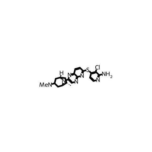 CNC1CC2[C@@H](C)C[C@@H](C1)N2c1cnc2nc(Sc3ccnc(N)c3Cl)ccc2n1